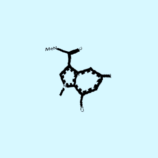 CNC(=O)c1cn(C)c2c(Cl)cc(I)cc12